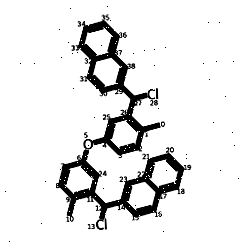 Cc1ccc(Oc2ccc(C)c(C(Cl)c3ccc4ccccc4c3)c2)cc1C(Cl)c1ccc2ccccc2c1